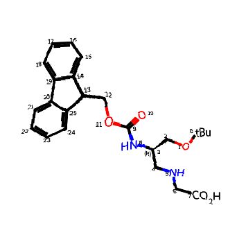 CC(C)(C)OC[C@@H](CNCC(=O)O)NC(=O)OCC1c2ccccc2-c2ccccc21